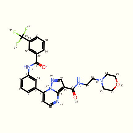 O=C(Nc1cccc(-c2ccnc3c(C(=O)NCCN4CCOCC4)cnn23)c1)c1cccc(C(F)(F)F)c1